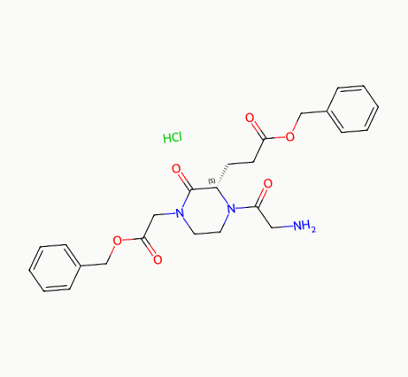 Cl.NCC(=O)N1CCN(CC(=O)OCc2ccccc2)C(=O)[C@@H]1CCC(=O)OCc1ccccc1